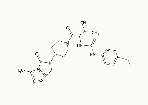 Cc1ncc2n1C(=O)N(C1CCN(C(=O)C(NC(=O)Nc3ccc(CI)cc3)C(C)C)CC1)C2